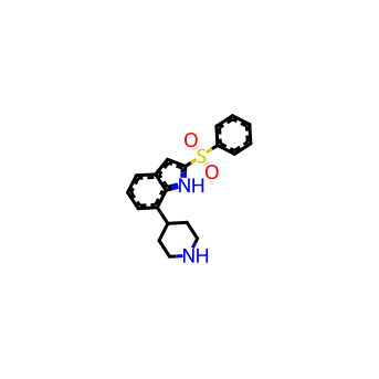 O=S(=O)(c1ccccc1)c1cc2cccc(C3CCNCC3)c2[nH]1